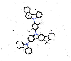 C/C=C\C1=C(C)C(C)(C)c2cc3c4cc(-n5c6c(c7ccccc75)=CCC=CC=6)ccc4n(-c4cc(C#N)c(-n5c6ccccc6c6c7ccccc7ccc65)cc4C#N)c3cc21